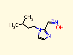 CC(C)CCn1ccnc1/C=N\O